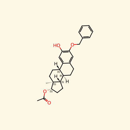 CC(=O)O[C@H]1CC[C@H]2[C@@H]3CCc4cc(OCc5ccccc5)c(O)cc4[C@H]3CC[C@]12C